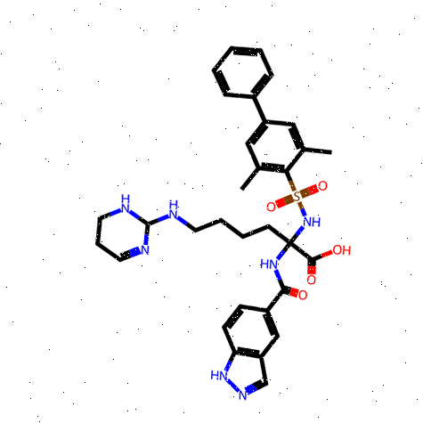 Cc1cc(-c2ccccc2)cc(C)c1S(=O)(=O)NC(CCCCNC1N=CCCN1)(NC(=O)c1ccc2[nH]ncc2c1)C(=O)O